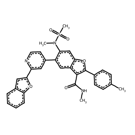 CNC(=O)c1c(-c2ccc(C)cc2)oc2cc(N(C)S(C)(=O)=O)c(-c3ccnc(-c4cc5ccccc5o4)c3)cc12